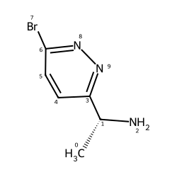 C[C@@H](N)c1ccc(Br)nn1